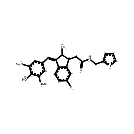 COc1cc(/C=C2\c3ccc(F)cc3C(CC(=O)NCc3ccco3)C2C)cc(OC)c1O